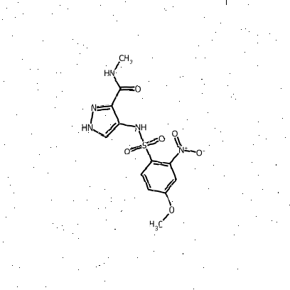 CNC(=O)c1n[nH]cc1NS(=O)(=O)c1ccc(OC)cc1[N+](=O)[O-]